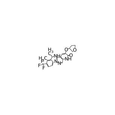 Cc1c([C@@H](C)Nc2nncc3[nH]c(=O)c(O[C@H]4CCOC4)cc23)cccc1C(F)(F)F